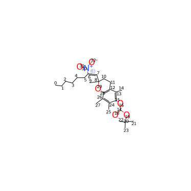 CCCCCC/C(=C\C1(C)CCc2c(C)c(OC(=O)OC(C)(C)C)c(C)c(C)c2O1)[N+](=O)[O-]